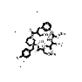 COCC(NC(=O)C(C)NC(=O)OC(C)(C)C)C(=O)N(C)C1(Cc2ccc(Cl)cc2)CCCN(C(=O)C(CC(=O)O)Cc2ccccc2)C1